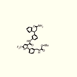 CC(C)(C)OC(=O)NCc1cccc(-n2nc(C(F)(F)F)cc2C(=O)Nc2cccc(C(CC(N)=O)c3ccccc3)c2)c1